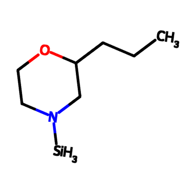 CCCC1CN([SiH3])CCO1